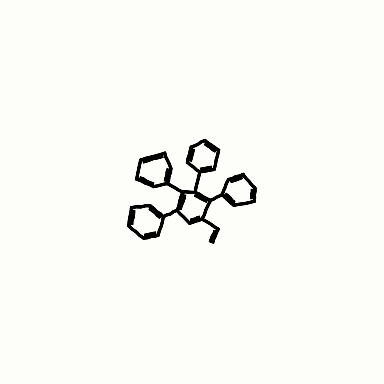 C=Cc1cc(-c2ccccc2)c(-c2ccccc2)c(-c2ccccc2)c1-c1ccccc1